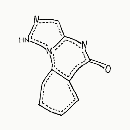 O=c1nc2cn[nH]n2c2ccccc12